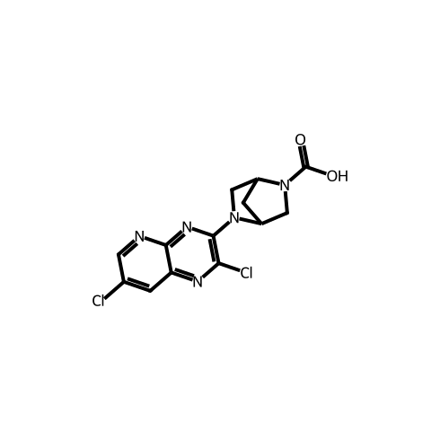 O=C(O)N1CC2CC1CN2c1nc2ncc(Cl)cc2nc1Cl